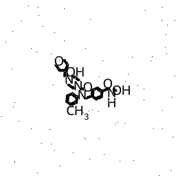 Cc1cccc(N(Cc2ccc(C(=O)NO)cc2)C(=O)N2CCN(CC3(O)CCOCC3)CC2)c1